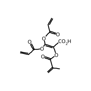 C=CC(=O)OC(OC(=O)C=C)=C(OC(=O)C(=C)C)C(=O)O